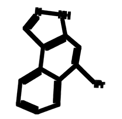 CC(C)c1cc2[nH]ncc2c2ccccc12